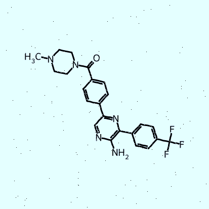 CN1CCN(C(=O)c2ccc(-c3cnc(N)c(-c4ccc(C(F)(F)F)cc4)n3)cc2)CC1